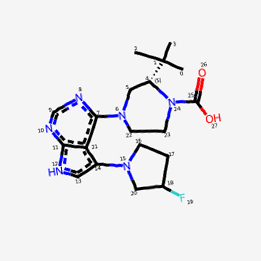 CC(C)(C)[C@H]1CN(c2ncnc3[nH]cc(N4CCC(F)C4)c23)CCN1C(=O)O